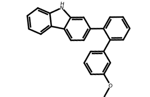 COc1cccc(-c2ccccc2-c2ccc3c(c2)[nH]c2ccccc23)c1